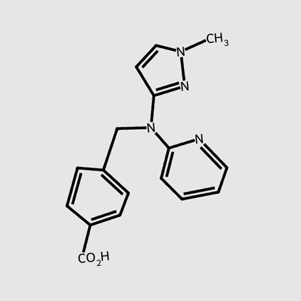 Cn1ccc(N(Cc2ccc(C(=O)O)cc2)c2ccccn2)n1